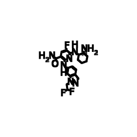 NC(=O)c1cc(F)c(NC2CCCC[C@@H]2N)nc1Nc1ccc2cnn(CC(F)F)c2c1